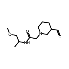 COCC(C)NC(=O)CN1CCCC(C=O)C1